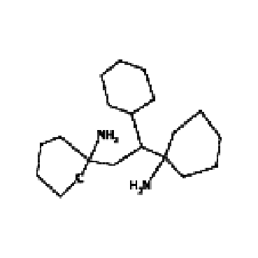 NC1(CC(C2CCCCC2)C2(N)CCCCC2)CCCCC1